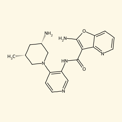 C[C@@H]1C[C@H](N)CN(c2ccncc2NC(=O)c2c(N)oc3cccnc23)C1